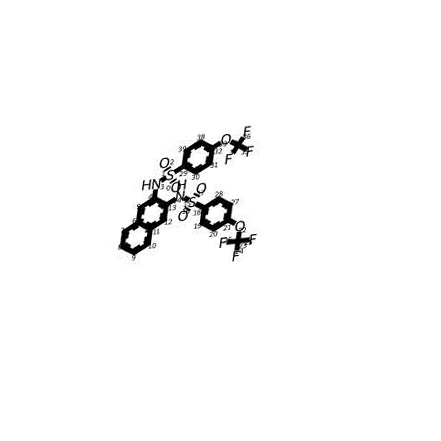 O=S(=O)(Nc1cc2ccccc2cc1NS(=O)(=O)c1ccc(OC(F)(F)F)cc1)c1ccc(OC(F)(F)F)cc1